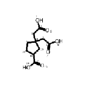 O=C(O)CC1(CC(=O)O)CCC(C(=O)O)C1